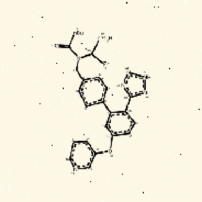 CCCCC(=O)N(Cc1ccc(-c2cc(Oc3cccnc3)ccc2-c2nn[nH]n2)cc1)C(C(=O)O)C(C)C